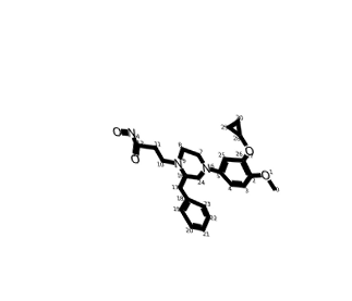 COc1ccc(N2CCN(CCC(=O)N=O)C(Cc3ccccc3)C2)cc1OC1CC1